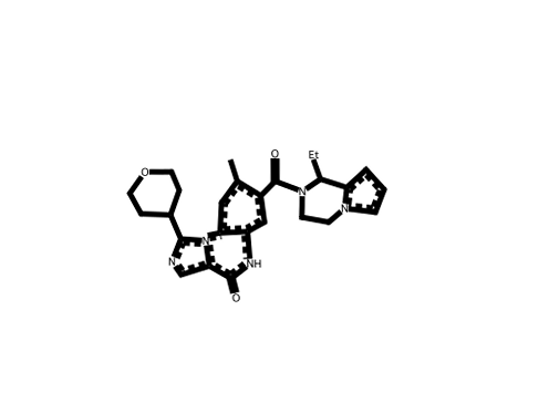 CCC1c2cccn2CCN1C(=O)c1cc2[nH]c(=O)c3cnc(C4CCOCC4)n3c2cc1C